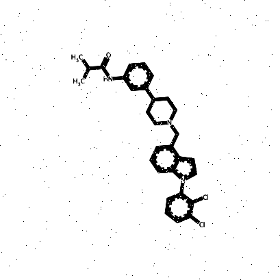 CC(C)C(=O)Nc1cccc(C2CCN(Cc3cccc4c3ccn4-c3cccc(Cl)c3Cl)CC2)c1